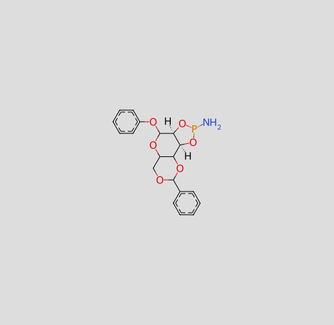 NP1O[C@@H]2C(Oc3ccccc3)OC3COC(c4ccccc4)OC3[C@@H]2O1